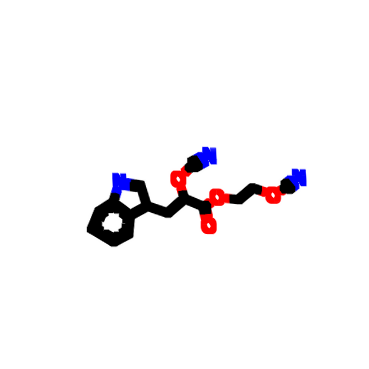 N#COCCOC(=O)C(CC1C=Nc2ccccc21)OC#N